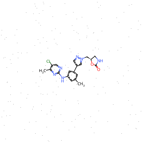 Cc1cc(Nc2ncc(Cl)c(C)n2)cc(-c2cnn(C[C@H]3CNC(=O)O3)c2)c1